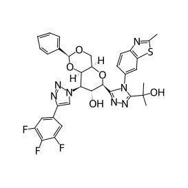 Cc1nc2ccc(-n3c([C@@H]4O[C@@H]5CO[C@H](c6ccccc6)O[C@@H]5[C@H](n5cc(-c6cc(F)c(F)c(F)c6)nn5)[C@H]4O)nnc3C(C)(C)O)cc2s1